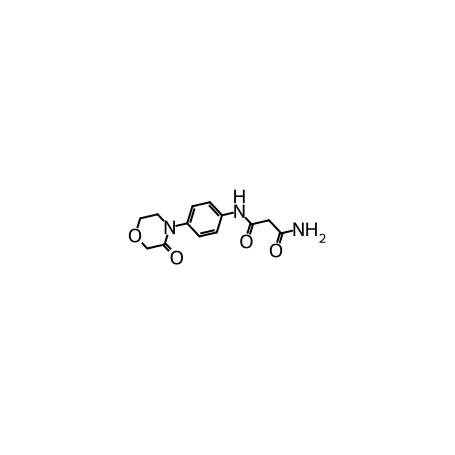 NC(=O)CC(=O)Nc1ccc(N2CCOCC2=O)cc1